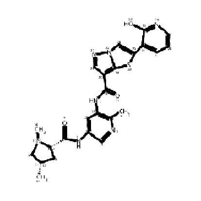 Cc1ncc(NC(=O)[C@@H]2C[C@H](C)CN2C)cc1NC(=O)c1cnn2cc(-c3cccnc3O)sc12